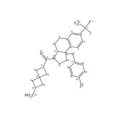 CC(F)(c1ccc2c(c1)CCC1N(C(=O)C3CC4(CC(C(=O)O)C4)C3)CCC21Cc1ccc(Cl)cc1)C(F)(F)F